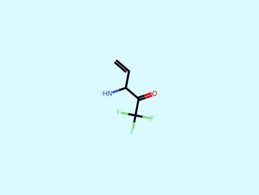 C=CC([NH])C(=O)C(F)(F)F